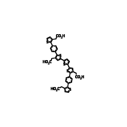 O=C(O)Cc1ccsc1-c1ccc(-c2sc(-c3ccc(-c4cc(CC(=O)O)c(-c5ccc(-c6sccc6CC(=O)O)cc5)s4)s3)cc2CC(=O)O)cc1